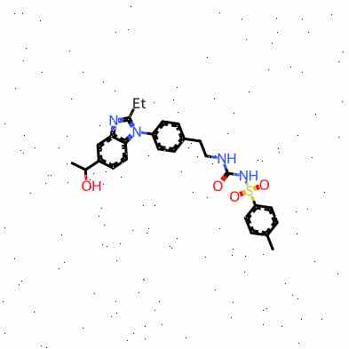 CCc1nc2cc(C(C)O)ccc2n1-c1ccc(CCNC(=O)NS(=O)(=O)c2ccc(C)cc2)cc1